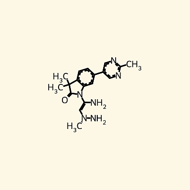 Cc1ncc(-c2ccc3c(c2)N(/C(N)=C/N(C)N)C(=O)C3(C)C)cn1